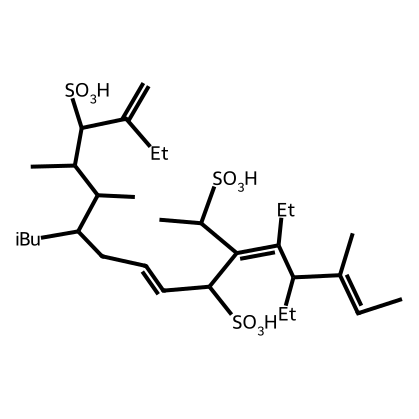 C=C(CC)C(C(C)C(C)C(C/C=C/C(/C(=C(/CC)C(CC)/C(C)=C/C)C(C)S(=O)(=O)O)S(=O)(=O)O)C(C)CC)S(=O)(=O)O